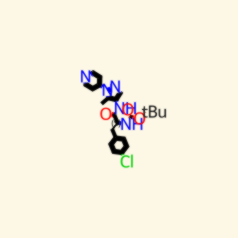 Cc1c(NC(=O)[C@H](Cc2ccc(Cl)cc2)NC(=O)OC(C)(C)C)cnn1-c1ccncc1